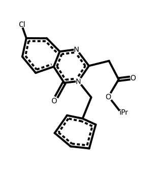 CC(C)OC(=O)Cc1nc2cc(Cl)ccc2c(=O)n1Cc1ccccc1